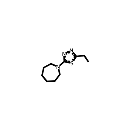 CCc1nnc(N2CCCCCC2)s1